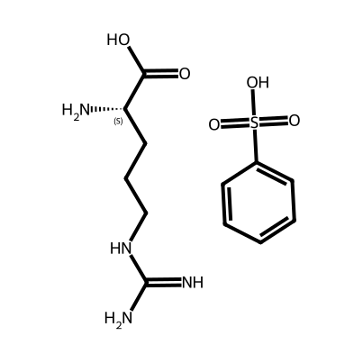 N=C(N)NCCC[C@H](N)C(=O)O.O=S(=O)(O)c1ccccc1